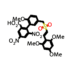 COc1cc(OC)c(C=CS(=O)(=O)Cc2ccc(OC)c(-c3c(C(=O)O)cc([N+](=O)[O-])cc3[N+](=O)[O-])c2)c(OC)c1